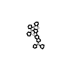 c1ccc(N(c2ccccc2)c2ccc3cc4c(cc3c2)oc2c3c5c(cc24)Oc2ccccc2B5c2ccccc2N3c2ccccc2)cc1